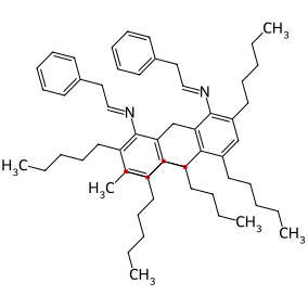 CCCCCc1cc(CCCCC)c(N=CCc2ccccc2)c(Cc2c(CCCCC)c(CCCCC)cc(CCCCC)c2N=CCc2ccccc2)c1CCCCC